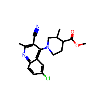 COC(=O)C1CCN(c2c(C#N)c(C)nc3ccc(Cl)cc23)CC1C